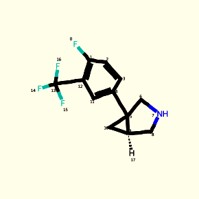 Fc1ccc(C23CNC[C@H]2C3)cc1C(F)(F)F